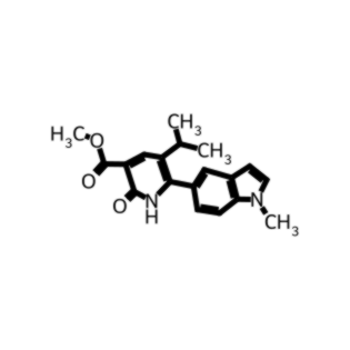 COC(=O)c1cc(C(C)C)c(-c2ccc3c(ccn3C)c2)[nH]c1=O